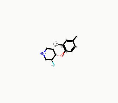 Cc1ccc(O[C@H]2CCNC[C@@H]2F)c(C(F)(F)F)c1